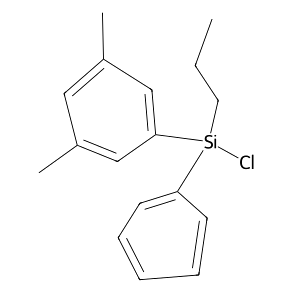 CCC[Si](Cl)(c1ccccc1)c1cc(C)cc(C)c1